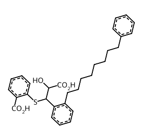 O=C(O)c1ccccc1SC(c1ccccc1CCCCCCCCc1ccccc1)C(O)C(=O)O